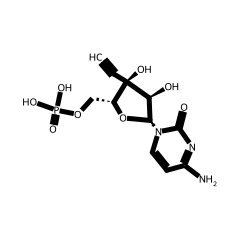 C#C[C@@]1(O)[C@@H](COP(=O)(O)O)O[C@@H](n2ccc(N)nc2=O)[C@@H]1O